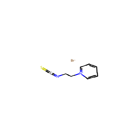 S=C=NCC[n+]1ccccc1.[Br-]